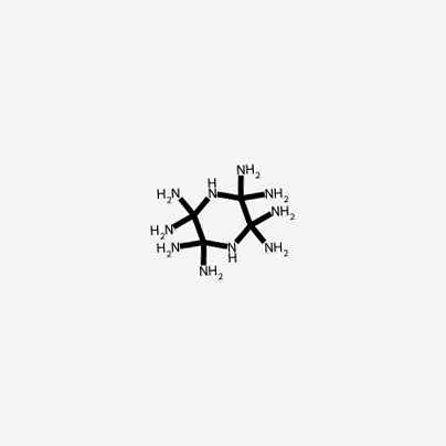 NC1(N)NC(N)(N)C(N)(N)NC1(N)N